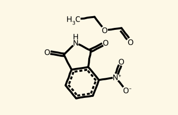 CCOC=O.O=C1NC(=O)c2c1cccc2[N+](=O)[O-]